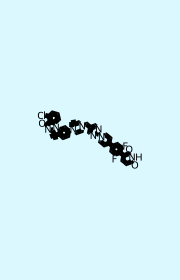 CC1(C)c2ccc(N3CCN(Cc4cnc(N5CCC(c6cc(F)c(C7CCC(=O)NC7=O)c(F)c6)CC5)nc4)CC3(C)C)cc2-n2c1nc(=O)c1c(Cl)cccc12